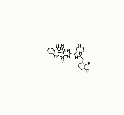 CC1(c2ccccc2)C(=O)Nc2nc(-c3nc(Cc4cccc(F)c4F)n4ccncc34)nc(N)c21